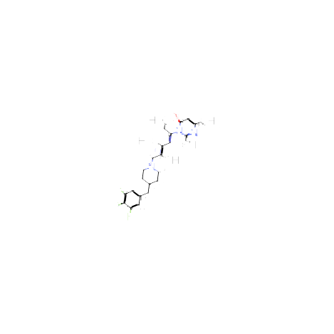 CC/C(=C\C(C)=C(/C)CN1CCC(Cc2cc(F)c(F)c(F)c2)CC1)n1c(C)nc(C)cc1=O